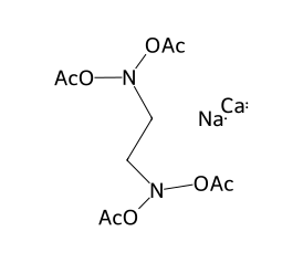 CC(=O)ON(CCN(OC(C)=O)OC(C)=O)OC(C)=O.[Ca].[Na]